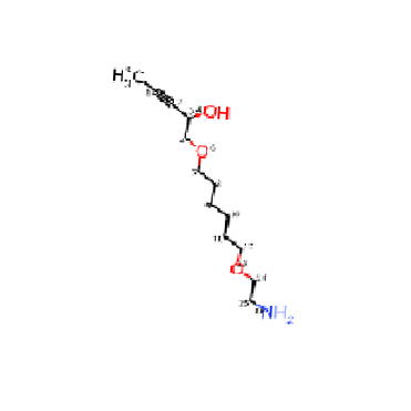 CC#CC(O)COCCCCCCOCCN